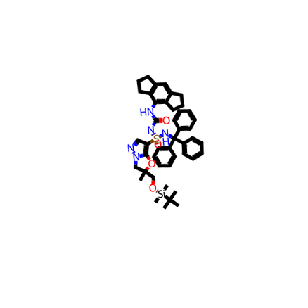 CC1(CO[Si](C)(C)C(C)(C)C)Cn2ncc(S(=O)(=NC(=O)Nc3c4c(cc5c3CCC5)CCC4)NC(c3ccccc3)(c3ccccc3)c3ccccc3)c2O1